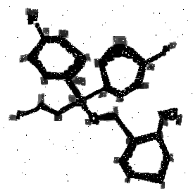 O=[N+]([O-])c1ccccc1CO[Si](CCF)(c1ccc(F)cc1)c1ccc(F)cc1